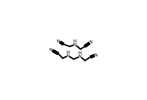 N#CCNCC#N.N#CCNCNCC#N